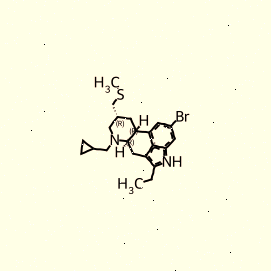 CCc1[nH]c2cc(Br)cc3c2c1C[C@@H]1[C@@H]3C[C@@H](CSC)CN1CC1CC1